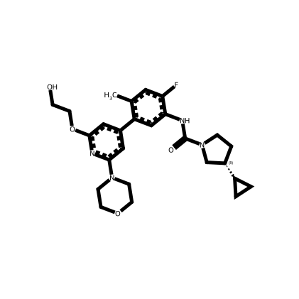 Cc1cc(F)c(NC(=O)N2CC[C@H](C3CC3)C2)cc1-c1cc(OCCO)nc(N2CCOCC2)c1